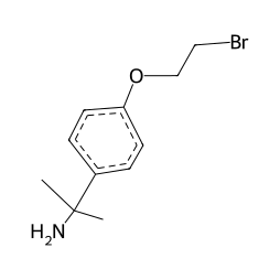 CC(C)(N)c1ccc(OCCBr)cc1